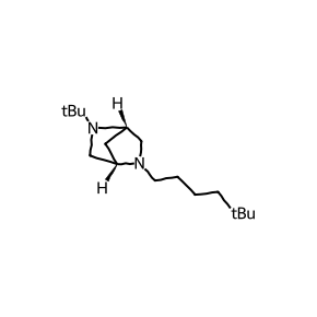 CC(C)(C)CCCCN1C[C@@H]2C[C@H]1CN2C(C)(C)C